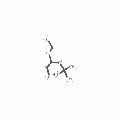 CCOC(CC)OC(C)(C)C